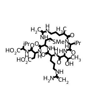 C=C(N)NCCCC(C)C(=O)NC(C(=O)NC(C(=O)NC(CCCNC(=C)N)C(=O)NC(CCSC)C(=O)NC(CC(=O)O)C(=O)NC(C(=O)O)C(C)C)C(C)O)C(C)C